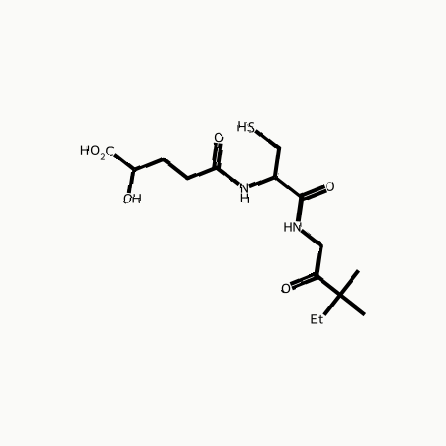 CCC(C)(C)C(=O)CNC(=O)C(CS)NC(=O)CCC(O)C(=O)O